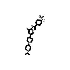 CC(C)N1CCC(N2CCC(c3cc(F)c4nc(-c5ccc(S(C)(=O)=O)cc5)cn4c3)CC2)CC1